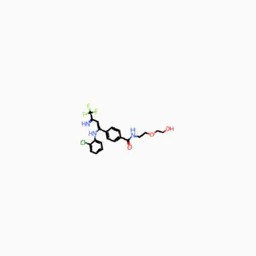 N=C(/C=C(\Nc1ccccc1Cl)c1ccc(C(=O)NCCOCCO)cc1)C(F)(F)F